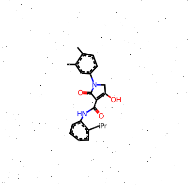 Cc1ccc(N2CC(O)=C(C(=O)Nc3ccccc3C(C)C)C2=O)cc1C